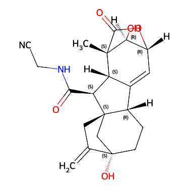 C=C1C[C@]23C[C@@]1(O)CC[C@H]2C1=C[C@H]2OC(=O)[C@@](C)([C@H]1[C@@H]3C(=O)NCC#N)[C@H]2O